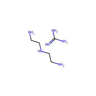 N=C(N)N.NCCNCCN